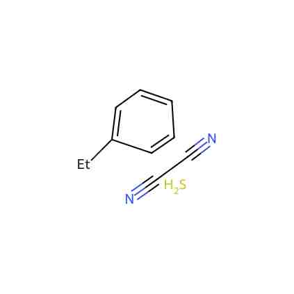 CCc1ccccc1.N#CC#N.S